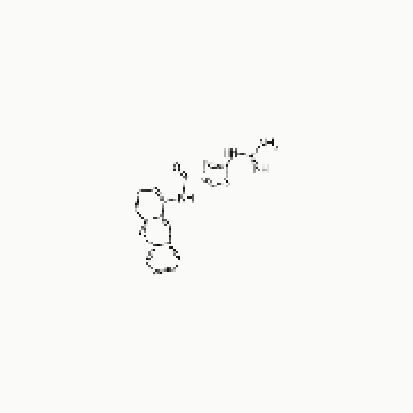 N=C(N)Nc1nc(C(=O)Nc2cccc3cc4ccccc4cc23)cs1